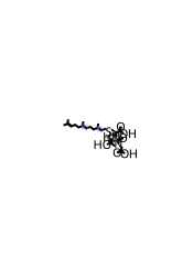 CC(C)=CCC/C(C)=C/CC/C(C)=C/CSC[C@H](NC(=O)N(CC(=O)O)CC(=O)O)C(=O)O